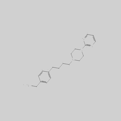 CC(=O)NCc1ccc(CCCCN2CCN(c3ncccn3)CC2)cc1